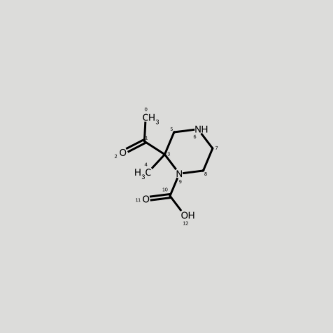 CC(=O)C1(C)CNCCN1C(=O)O